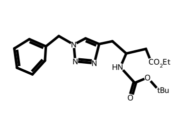 CCOC(=O)CC(Cc1cn(Cc2ccccc2)nn1)NC(=O)OC(C)(C)C